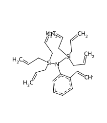 [CH]=Cc1ccccc1N([Si](CC=C)(CC=C)CC=C)[Si](CC=C)(CC=C)CC=C